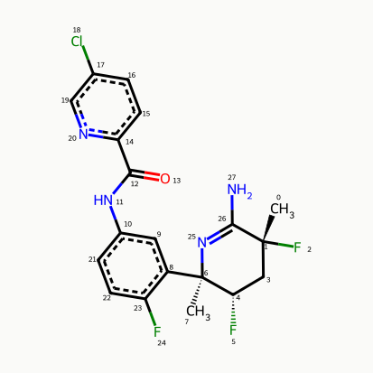 C[C@@]1(F)C[C@H](F)[C@@](C)(c2cc(NC(=O)c3ccc(Cl)cn3)ccc2F)N=C1N